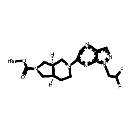 CC(C)(C)OC(=O)N1C[C@@H]2CCN(c3cnc4cnn(CC(F)F)c4n3)C[C@@H]2C1